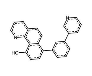 Oc1ccc(-c2cccc(-c3cccnc3)c2)c2ccc3cccnc3c12